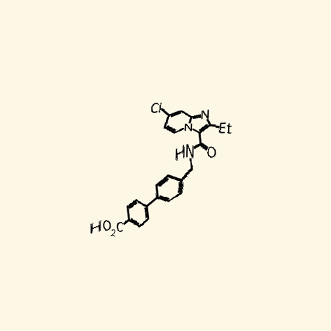 CCc1nc2cc(Cl)ccn2c1C(=O)NCc1ccc(-c2ccc(C(=O)O)cc2)cc1